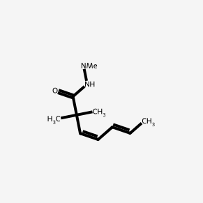 C/C=C/C=C\C(C)(C)C(=O)NNC